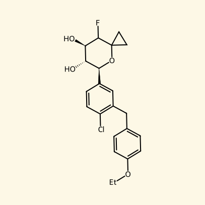 CCOc1ccc(Cc2cc([C@@H]3OC4(CC4)C(F)[C@H](O)[C@H]3O)ccc2Cl)cc1